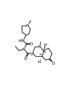 CCN(C(=O)NC1CCN(C)CC1)C(=O)[C@@H]1C[C@@H]2CC(=O)CC[C@H]2N(C)C1